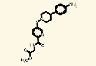 COC(=O)CNC(=O)c1ccc(SN2CCC(c3ccc(N)cc3)CC2)cn1